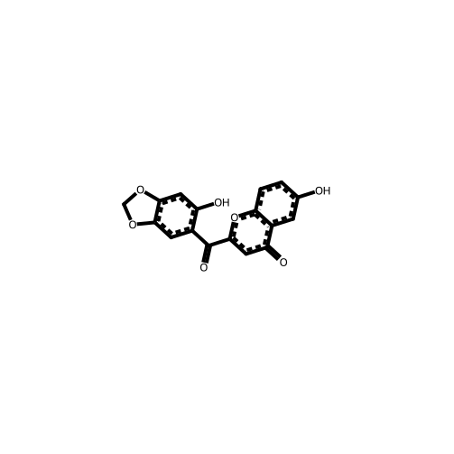 O=C(c1cc(=O)c2cc(O)ccc2o1)c1cc2c(cc1O)OCO2